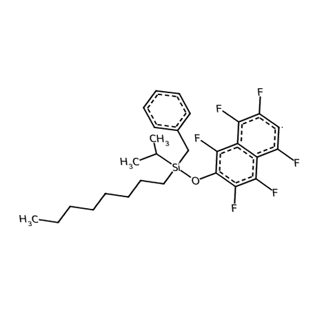 CCCCCCCC[Si](Cc1ccccc1)(Oc1c(F)c(F)c2c(F)[c]c(F)c(F)c2c1F)C(C)C